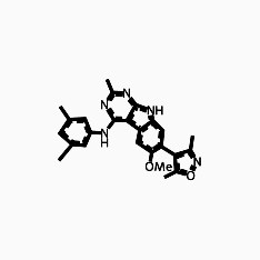 COc1cc2c(cc1-c1c(C)noc1C)[nH]c1nc(C)nc(Nc3cc(C)cc(C)c3)c12